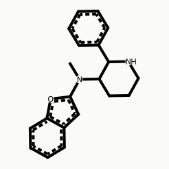 CN(c1cc2ccccc2o1)C1CCCNC1c1ccccc1